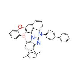 CC12CCC(C)(CC1)c1c2cc2c3c1nc1n(-c4ccc(-c5ccccc5)cc4)c4cccc5cc6c(c(c54)n31)B2c1ccccc1O6